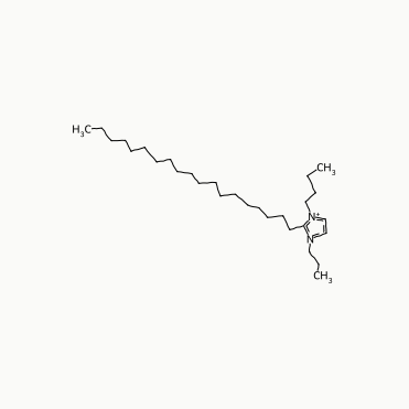 CCCCCCCCCCCCCCCCCCCc1n(CCC)cc[n+]1CCCC